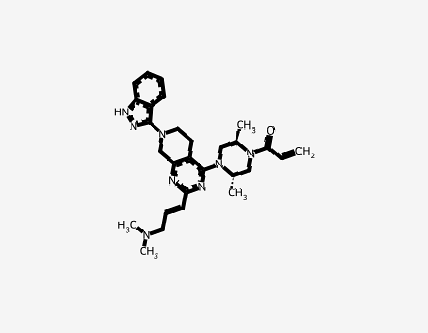 C=CC(=O)N1C[C@H](C)N(c2nc(/C=C/CN(C)C)nc3c2CCN(c2n[nH]c4ccccc24)C3)C[C@H]1C